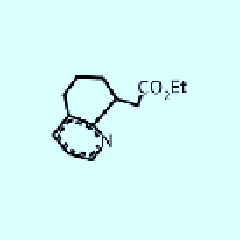 CCOC(=O)CC1CCCc2cccnc21